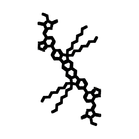 CCCCCCCCC1(CCCCCCCC)c2cc(-c3ccc(/C=C4\SC(=S)N(CC)C4=O)c4nsnc34)ccc2-c2cc3cc4c(cc3cc21)-c1ccc(-c2ccc(/C=C3\SC(=S)N(CC)C3=O)c3nsnc23)cc1C4(CCCCCCCC)CCCCCCCC